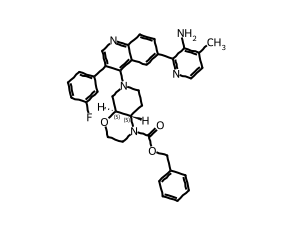 Cc1ccnc(-c2ccc3ncc(-c4cccc(F)c4)c(N4CC[C@H]5[C@H](C4)OCCN5C(=O)OCc4ccccc4)c3c2)c1N